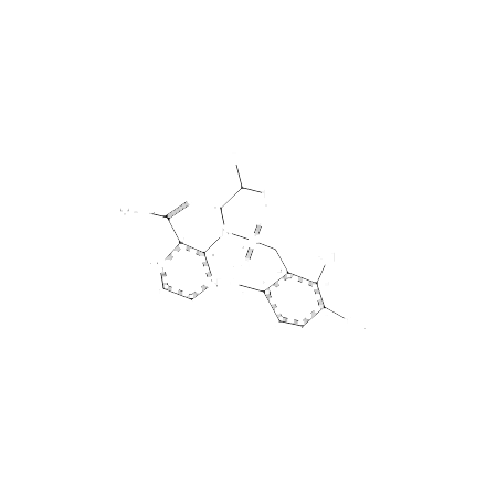 COC(=O)c1nccnc1N(CC(F)F)S(=O)(=O)Cc1c(C(F)(F)F)ccc(Cl)c1Cl